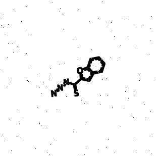 [N-]=[N+]=NC(=S)c1cc2ccccc2o1